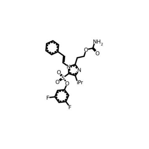 CC(C)c1nc(CCOC(N)=O)n(C=Cc2ccccc2)c1S(=O)(=O)Oc1cc(F)cc(F)c1